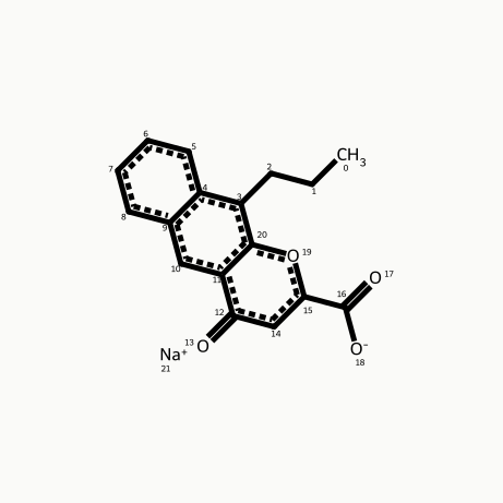 CCCc1c2ccccc2cc2c(=O)cc(C(=O)[O-])oc12.[Na+]